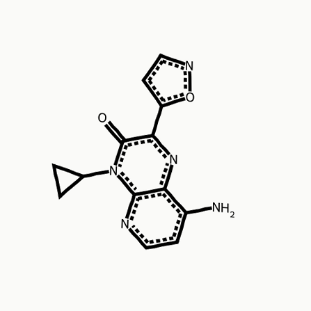 Nc1ccnc2c1nc(-c1ccno1)c(=O)n2C1CC1